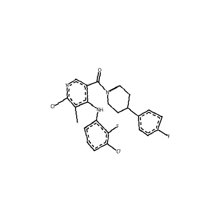 Cc1c(Cl)ncc(C(=O)N2CCC(c3ccc(F)cc3)CC2)c1Nc1cccc(Cl)c1F